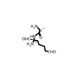 C[C@@H](N)C(=O)N[C@](N)([C]=O)CCCC[C]=O